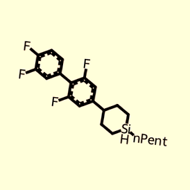 CCCCC[SiH]1CCC(c2cc(F)c(-c3ccc(F)c(F)c3)c(F)c2)CC1